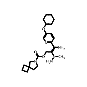 CN(N)/C(COC(=O)N1CCC2(CCC2)C1)=C(\N)c1ccc(OC2CCCCC2)cn1